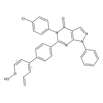 C=C/C=C(\C=C/OO)c1ccc(-c2nc3c(cnn3-c3ccccc3)c(=O)n2-c2ccc(Cl)cc2)cc1